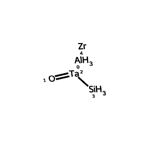 [AlH3].[O]=[Ta][SiH3].[Zr]